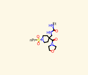 CCCS(=O)(=O)N1CCC(CNC(=O)NCC)(C(=O)N2CCOCC2)CC1